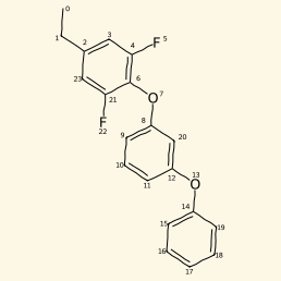 CCc1cc(F)c(Oc2cccc(Oc3ccccc3)c2)c(F)c1